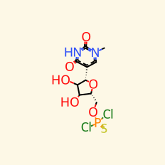 Cn1cc([C@@H]2O[C@H](COP(=S)(Cl)Cl)C(O)C2O)c(=O)[nH]c1=O